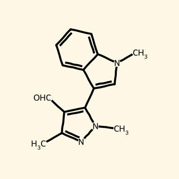 Cc1nn(C)c(-c2cn(C)c3ccccc23)c1C=O